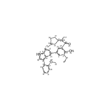 CCc1cc(-c2cnc3[nH]cc(-c4ccccc4OC)c3c2)cc(C(=O)N(C)C2CCN(C)C2)c1O